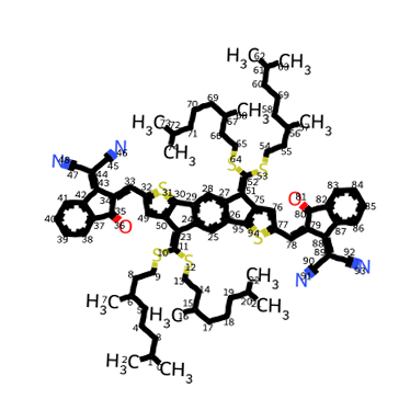 CC(C)CCCC(C)CCSC(SCCC(C)CCCC(C)C)=C1c2cc3c(cc2-c2sc(/C=C4\C(=O)c5ccccc5C4=C(C#N)C#N)cc21)C(=C(SCCC(C)CCCC(C)C)SCCC(C)CCCC(C)C)c1cc(/C=C2\C(=O)c4ccccc4C2=C(C#N)C#N)sc1-3